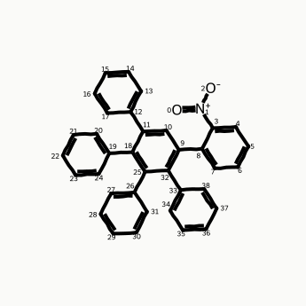 O=[N+]([O-])c1ccccc1-c1cc(-c2ccccc2)c(-c2ccccc2)c(-c2ccccc2)c1-c1ccccc1